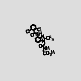 O=C(O)CNC(=O)Cn1c(C(F)(F)F)nc2c(NC(=O)c3c(Cl)cccc3Cl)cccc21